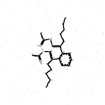 CCCCCC(=COC(C)=O)c1ccccc1C(=COC(C)=O)CCCCC